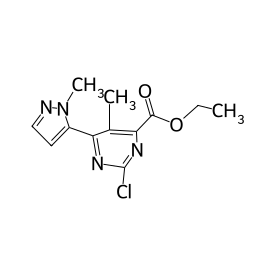 CCOC(=O)c1nc(Cl)nc(-c2ccnn2C)c1C